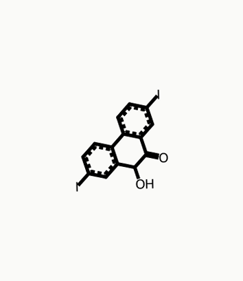 O=C1c2cc(I)ccc2-c2ccc(I)cc2C1O